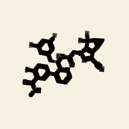 CNC(=O)c1cc(-c2cccnc2[C@H](Cc2cc(F)cc(F)c2)NC(=O)Cn2nc(C#N)c3c2C(F)(F)C2CC32)ccc1F